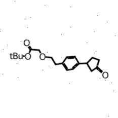 CC(C)(C)OC(=O)COCCc1ccc(C2CCC(=O)C2)cc1